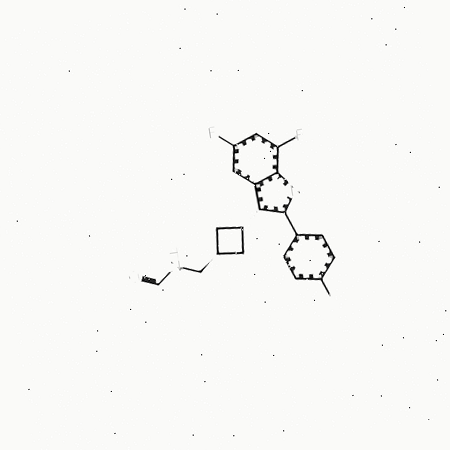 O=CNC[C@H]1C[C@H](c2c(-c3ccc(F)cc3)[nH]c3c(F)cc(F)cc32)C1